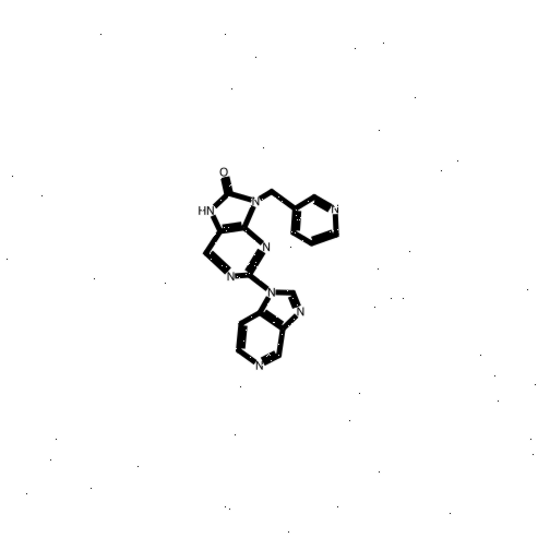 O=c1[nH]c2cnc(-n3cnc4cnccc43)nc2n1Cc1cccnc1